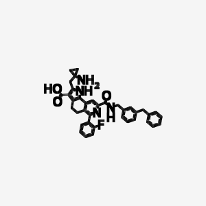 NC1(Cc2[nH]c3c(c2C(=O)O)CCc2c-3cc(C(=O)NCc3cccc(Cc4ccccc4)c3)nc2-c2ccccc2F)CC1